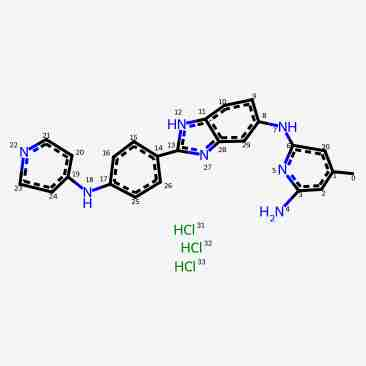 Cc1cc(N)nc(Nc2ccc3[nH]c(-c4ccc(Nc5ccncc5)cc4)nc3c2)c1.Cl.Cl.Cl